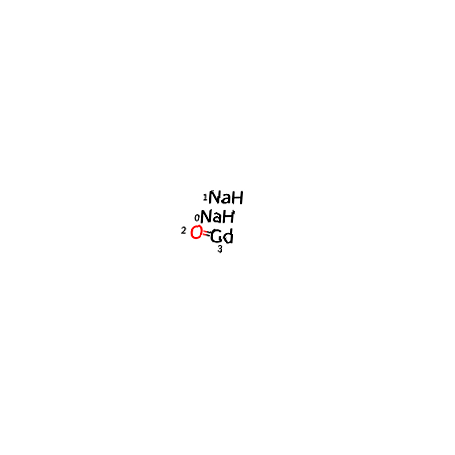 [NaH].[NaH].[O]=[Gd]